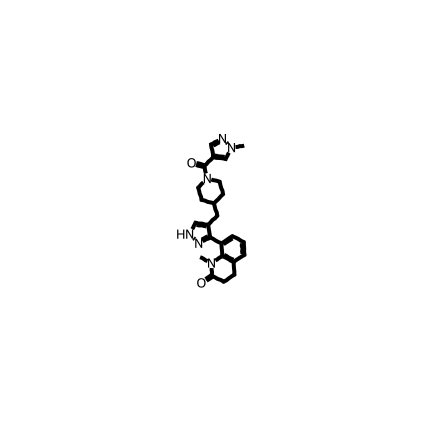 CN1C(=O)CCc2cccc(-c3n[nH]cc3CC3CCN(C(=O)c4cnn(C)c4)CC3)c21